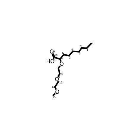 CCCCCCCC(OCCOCCOC)C(=O)O